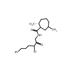 CCC(CCCC(C)C)C(=O)CNC(=O)C1CC(C)CCC[C@H]1C